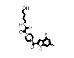 O=C(NCCCCO)C(=O)N1CCN(C(=O)c2cc3c(F)cc(F)cc3[nH]2)CC1